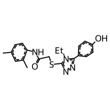 CCn1c(SCC(=O)Nc2ccc(C)cc2C)nnc1-c1ccc(O)cc1